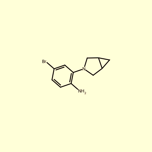 Nc1ccc(Br)cc1N1CC2CC2C1